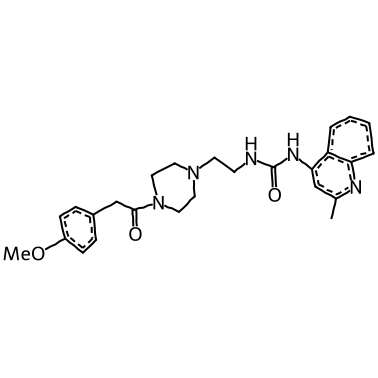 COc1ccc(CC(=O)N2CCN(CCNC(=O)Nc3cc(C)nc4ccccc34)CC2)cc1